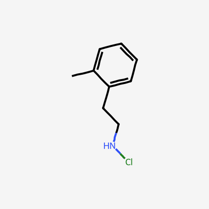 Cc1ccccc1CCNCl